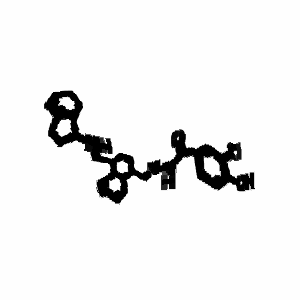 O=C(N/N=C/c1ccc(CNC2CCc3ccccc32)c2ccccc12)c1ccc(O)c(Cl)c1